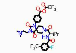 CC(C)[C@@H](NC(=O)c1cc(C(F)(F)F)ccc1F)C(=O)N1CCC2(CC1)C(=O)N(CCN(C)C)C(=O)N2c1ccc(C(=O)OC(=O)C(F)(F)F)cc1